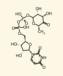 C[C@H]1OC(OP(=O)(O)OP(=O)(O)OC[C@H]2O[C@@H](n3ccc(=O)[nH]c3=O)[C@H](O)[C@@H]2O)[C@H](O)[C@@H](O)C1=O